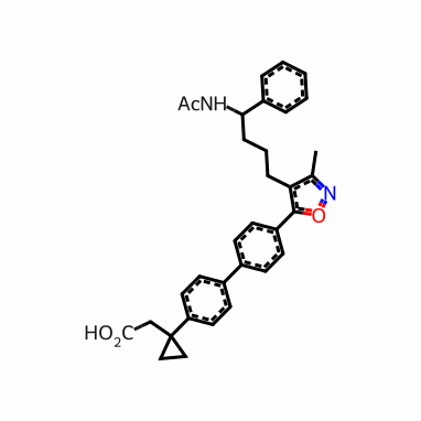 CC(=O)NC(CCCc1c(C)noc1-c1ccc(-c2ccc(C3(CC(=O)O)CC3)cc2)cc1)c1ccccc1